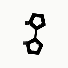 c1c[pH]c(-c2ccc[pH]2)c1